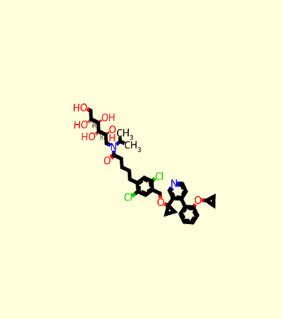 CC(C)N(C[C@H](O)[C@@H](O)[C@H](O)[C@H](O)CO)C(=O)CCCCc1cc(Cl)c(COC2(c3cnccc3-c3ccccc3OC3CC3)CC2)cc1Cl